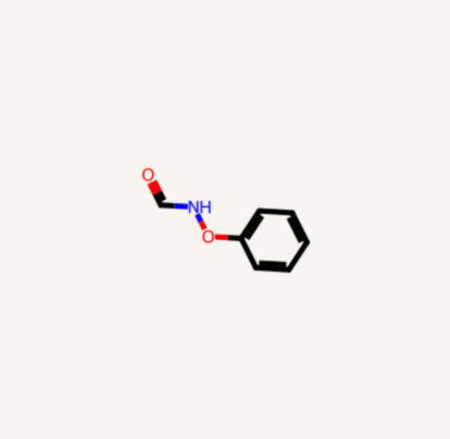 O=CNOc1ccccc1